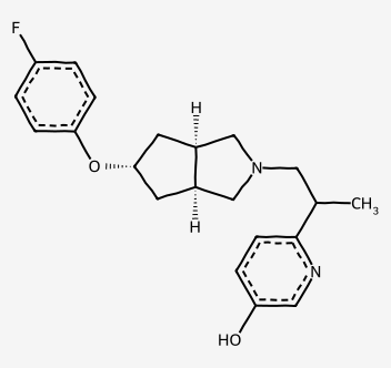 CC(CN1C[C@H]2C[C@H](Oc3ccc(F)cc3)C[C@H]2C1)c1ccc(O)cn1